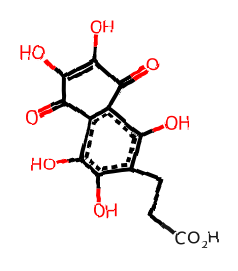 O=C(O)CCc1c(O)c(O)c2c(c1O)C(=O)C(O)=C(O)C2=O